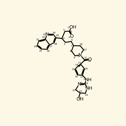 O=C(O)CC(CCC1CCN(C(=O)c2cccc(NC3=NCC(O)CN3)c2)CC1)c1cnc2ccccc2c1